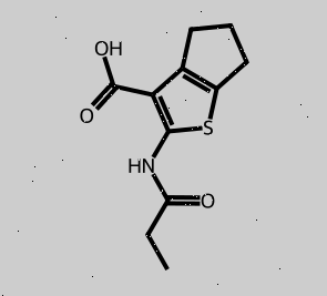 CCC(=O)Nc1sc2c(c1C(=O)O)CCC2